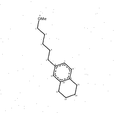 COCCCCCc1ccc2c(c1)CCCC2